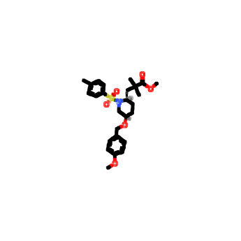 COC(=O)C(C)(C)C[C@@H]1CC[C@@H](OCc2ccc(OC)cc2)CN1S(=O)(=O)c1ccc(C)cc1